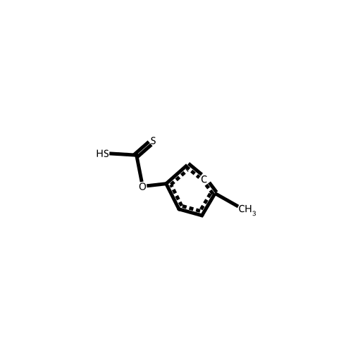 Cc1ccc(OC(=S)S)cc1